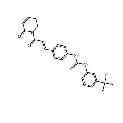 O=C(Nc1ccc(/C=C/C(=O)N2CCC=CC2=O)cc1)Nc1cccc(C(F)(F)F)c1